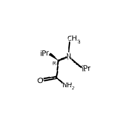 CC(C)[C@H](C(N)=O)N(C)C(C)C